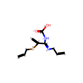 C=CCN=C(NC(=O)O)C(=C)SCC=C